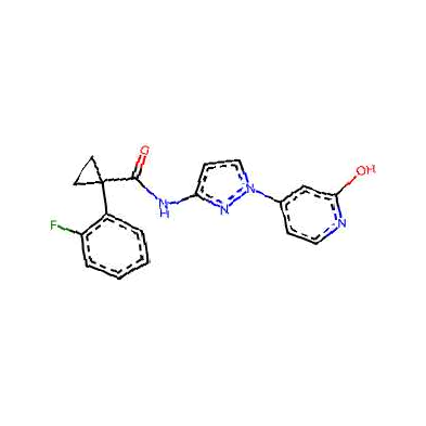 O=C(Nc1ccn(-c2ccnc(O)c2)n1)C1(c2ccccc2F)CC1